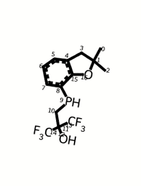 CC1(C)Cc2cccc(PCC(O)(C(F)(F)F)C(F)(F)F)c2O1